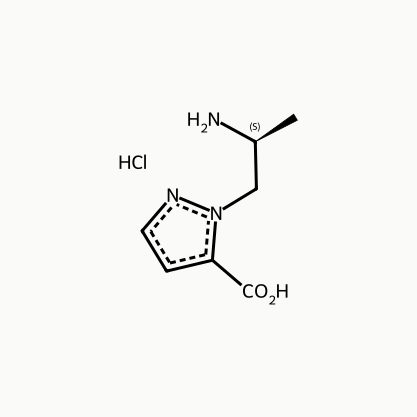 C[C@H](N)Cn1nccc1C(=O)O.Cl